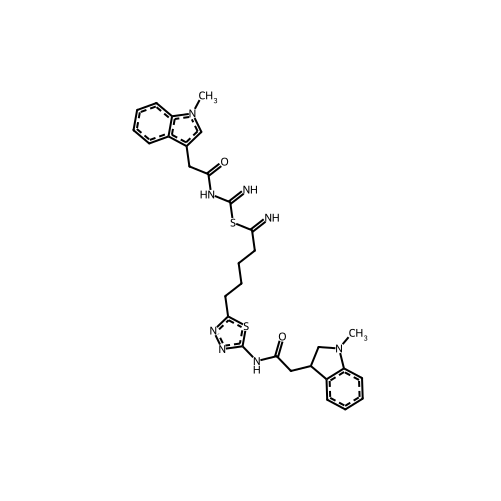 CN1CC(CC(=O)Nc2nnc(CCCCC(=N)SC(=N)NC(=O)Cc3cn(C)c4ccccc34)s2)c2ccccc21